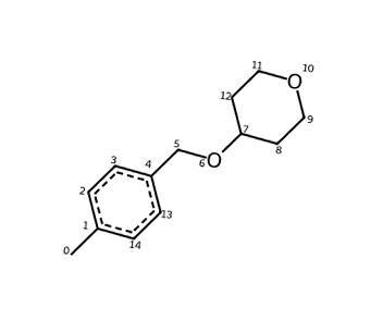 Cc1ccc(COC2CCOCC2)cc1